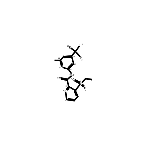 CCS(=O)(=O)c1cccnc1C(=O)Nc1cc(C(F)(F)F)cc(C)n1